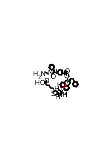 NCCn1c(=O)n(C2CCN(C(=O)OC[C@H](Cc3ccccc3)N(Cc3ccccc3)Cc3ccccc3)CC2)c2ccccc21.O=C(O)CCCC[C@@H]1SC[C@@H]2NC(=O)N[C@@H]21